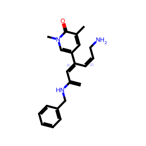 C=C(/C=C(\C=C/CN)c1cc(C)c(=O)n(C)c1)NCc1ccccc1